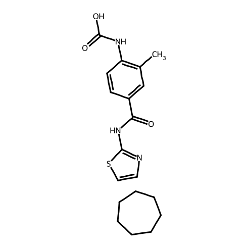 C1CCCCCC1.Cc1cc(C(=O)Nc2nccs2)ccc1NC(=O)O